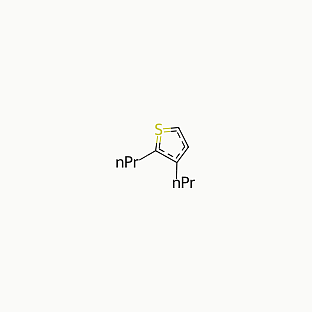 CCCc1ccsc1CCC